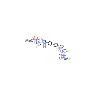 COC(=O)N[C@@H](C)C(=O)N1C[C@H](F)C[C@H]1c1ncc(-c2ccc(-c3ccc(-c4cnc([C@@H]5C[C@@H](F)CN5C(=O)[C@H](C)NC(=O)OC)[nH]4)cc3)cc2)[nH]1